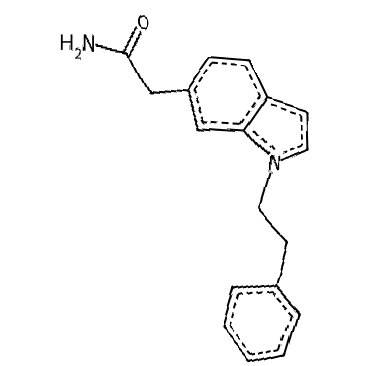 NC(=O)Cc1ccc2ccn(CCc3ccccc3)c2c1